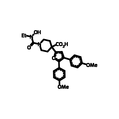 CCN(O)C(=O)N1CCC(C(=O)O)(c2cc(-c3ccc(OC)cc3)c(-c3ccc(OC)cc3)o2)CC1